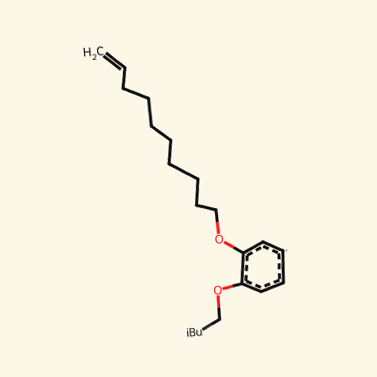 C=CCCCCCCCCOc1c[c]ccc1OCC(C)CC